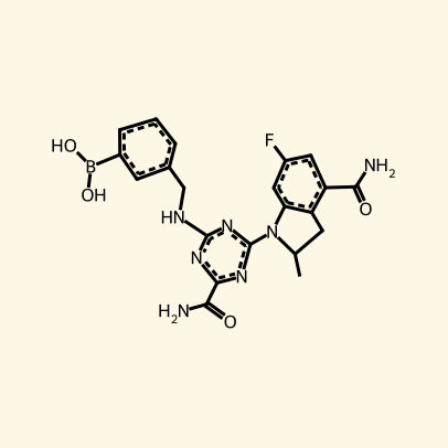 CC1Cc2c(C(N)=O)cc(F)cc2N1c1nc(NCc2cccc(B(O)O)c2)nc(C(N)=O)n1